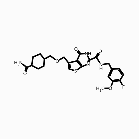 COc1cc(CNC(=O)c2nc3scc(COCC4CCC(C(N)=O)CC4)c3c(=O)[nH]2)ccc1F